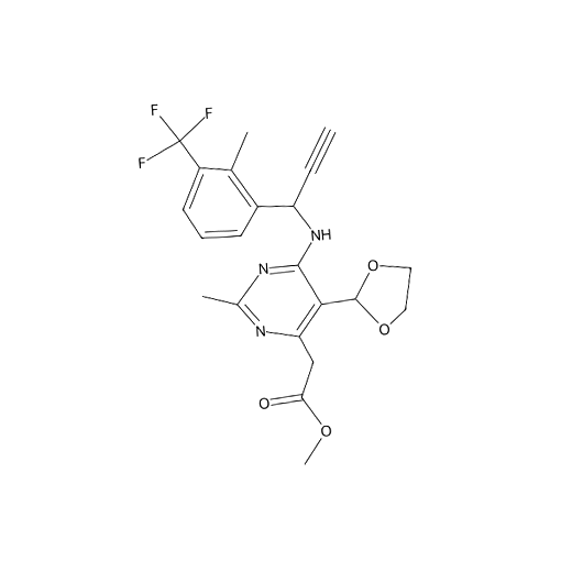 C#CC(Nc1nc(C)nc(CC(=O)OC)c1C1OCCO1)c1cccc(C(F)(F)F)c1C